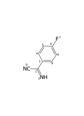 N#CC(=N)c1ccc(F)cc1